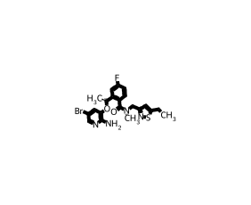 CCc1cc(CN(C)C(=O)c2ccc(F)cc2[C@@H](C)Oc2cc(Br)cnc2N)ns1